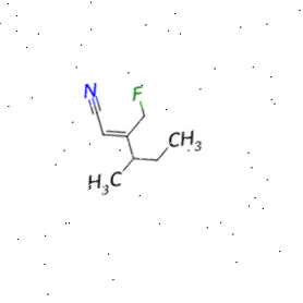 CCC(C)C(=CC#N)CF